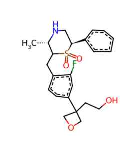 C[C@@H]1NC[C@@H](c2ccccc2)S(=O)(=O)C1Cc1ccc(C2(CCO)COC2)cc1F